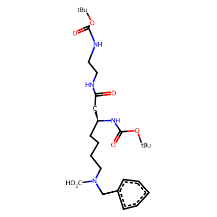 CC(C)(C)OC(=O)NCCNC(=O)C[C@H](CCCCN(Cc1ccccc1)C(=O)O)NC(=O)OC(C)(C)C